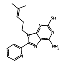 CC(C)=CCCn1c(-c2ccccn2)nc2c(N)nc(S)nc21